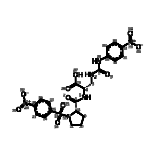 O=C(NC[C@H](NC(=O)[C@@H]1CCCN1S(=O)(=O)c1ccc([N+](=O)[O-])cc1)C(=O)O)Nc1ccc([N+](=O)[O-])cc1